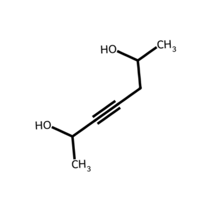 CC(O)C#CCC(C)O